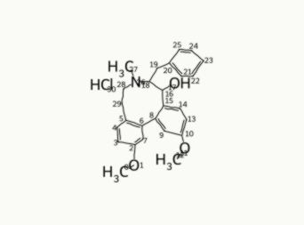 COc1ccc2c(c1)-c1cc(OC)ccc1C(O)C(Cc1ccccc1)N(C)CC2.Cl